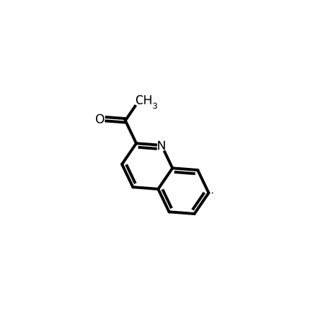 CC(=O)c1ccc2cc[c]cc2n1